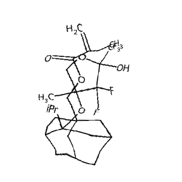 C=C(C)C(=O)OCC12CC3CC(C1)C(OC1(C)COC(O)(C(F)(F)F)C1(F)F)(C(C)C)C(C3)C2